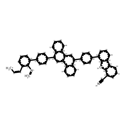 C=Nc1c(/C=C\C)cccc1-c1ccc(-c2cc3c4ccccc4c(-c4ccc(-c5cccc6c5oc5c(C#N)cccc56)cc4)cc3c3ccccc23)cc1